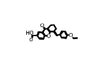 CCOc1ccc(C=C2CCCc3c2oc2ccc(C(=O)O)cc2c3=O)cc1